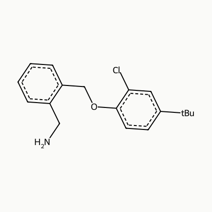 CC(C)(C)c1ccc(OCc2ccccc2CN)c(Cl)c1